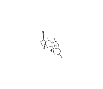 C[C@H]1CC[C@@H]2C(CC[C@@H]3C[C@]4(C)C(C#N)=CC[C@H]4C[C@H]32)C1